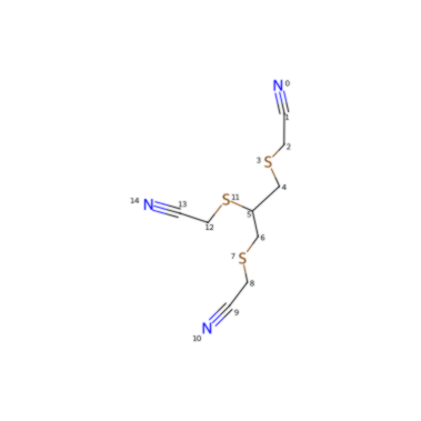 N#CCSCC(CSCC#N)SCC#N